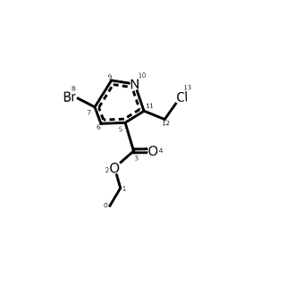 CCOC(=O)c1cc(Br)cnc1CCl